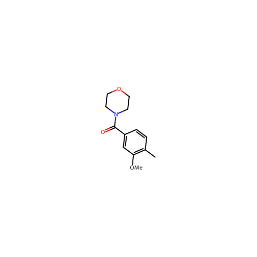 COc1cc(C(=O)N2CCOCC2)ccc1C